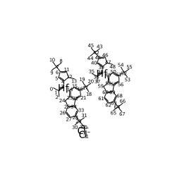 C[C](C)=[Hf]([C]1=CC(C(C)(C)C)=CC1C)[c]1cc(C(C)(C)C)cc2c1Cc1ccc(C(C)(C)C)cc1-2.C[C](C)=[Hf]([C]1=CC(C(C)(C)C)=CC1C)[c]1cc(C(C)(C)C)cc2c1Cc1ccc(C(C)(C)C)cc1-2.[Cl-].[Cl-]